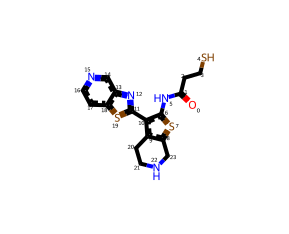 O=C(CCS)Nc1sc2c(c1-c1nc3cnccc3s1)CCNC2